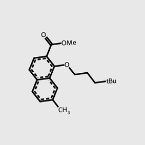 COC(=O)c1ccc2ccc(C)cc2c1OCCCC(C)(C)C